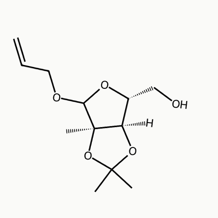 C=CCOC1O[C@H](CO)[C@H]2OC(C)(C)O[C@@]12C